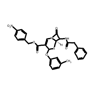 Cc1cccc(OC2S[C@@H]3C(NC(=O)Cc4ccccc4)C(=O)N3C=C2C(=O)OCc2ccc([N+](=O)[O-])cc2)c1